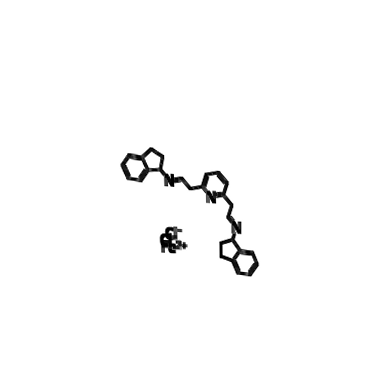 C(Cc1cccc(CC=NC2CCc3ccccc32)n1)=NC1CCc2ccccc21.[Cl-].[Cl-].[Fe+2]